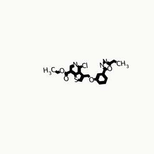 CCOC(=O)c1cnc(Cl)c2c(COc3cccc(-c4nnc(CC)o4)c3)csc12